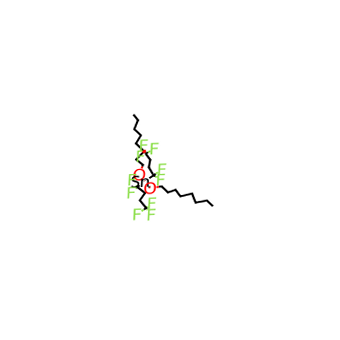 CCCCCCCC[O][Sn]([O]CCCCCCCC)([C](F)(F)CCC(F)(F)F)[C](F)(F)CCC(F)(F)F